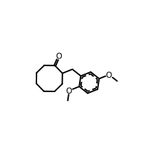 COc1ccc(OC)c(CC2CCCCCCC2=O)c1